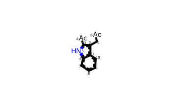 CC(=O)Cc1c(C(C)=O)[nH]c2ccccc12